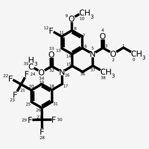 CCOC(=O)N1c2cc(OC)c(F)cc2C(N(Cc2cc(C(F)(F)F)cc(C(F)(F)F)c2)C(=O)OC)CC1C